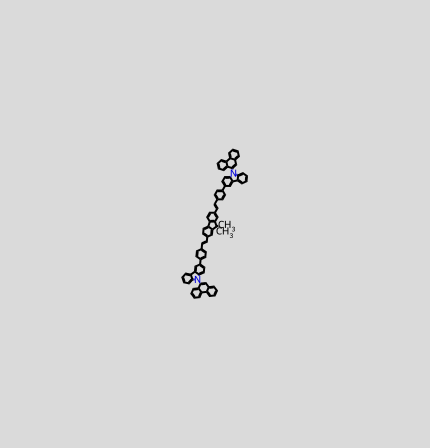 CC1(C)c2cc(/C=C/c3ccc(-c4ccc5c(c4)c4ccccc4n5-c4cc5ccccc5c5ccccc45)cc3)ccc2-c2ccc(/C=C/c3ccc(-c4ccc5c(c4)c4ccccc4n5-c4cc5ccccc5c5ccccc45)cc3)cc21